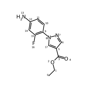 CCOC(=O)c1cnn(-c2ccc(N)cc2F)c1